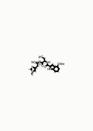 COc1cccc2[nH]c(C(=O)NC(CC(C)C)C(=O)NC(C#N)Cc3cn(C)cn3)cc12